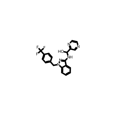 OC(Nc1nn(Cc2ccc(C(F)(F)F)cc2)c2ccccc12)c1cnccn1